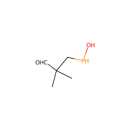 CC(C)(C=O)CPO